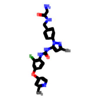 Cc1cc(Oc2ccc(NC(=O)Nc3cc(C(C)(C)C)nn3-c3ccc(CNC(=O)CN)cc3)c(F)c2)ccn1